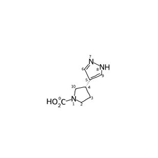 O=C(O)N1CC[C@@H](c2cn[nH]c2)C1